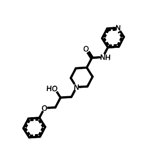 O=C(Nc1ccncc1)C1CCN(CC(O)COc2ccccc2)CC1